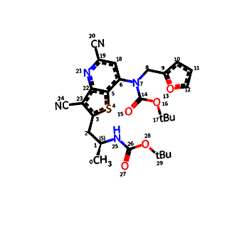 C[C@@H](Cc1sc2c(N(Cc3ccco3)C(=O)OC(C)(C)C)cc(C#N)nc2c1C#N)NC(=O)OC(C)(C)C